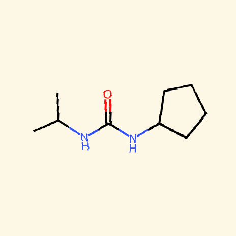 CC(C)NC(=O)NC1CCCC1